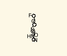 O=C(Nc1cccnc1)N1CCN(Cc2cccc(OCc3cccc(F)c3)c2)CC1